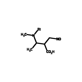 CCN(C)C(C)C(CN=O)C(=O)O